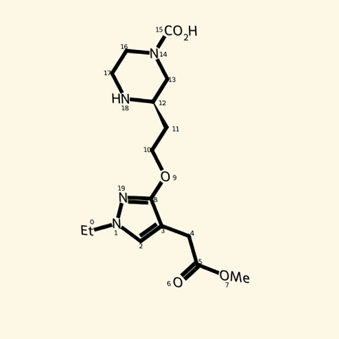 CCn1cc(CC(=O)OC)c(OCC[C@@H]2CN(C(=O)O)CCN2)n1